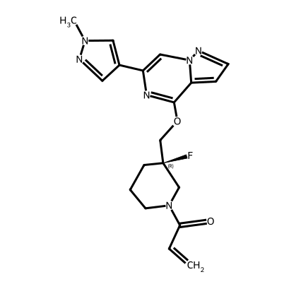 C=CC(=O)N1CCC[C@](F)(COc2nc(-c3cnn(C)c3)cn3nccc23)C1